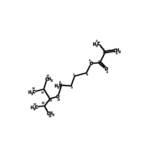 C=C(C)C(=O)OCCC[SiH2]OC(C(C)C)C(C)C